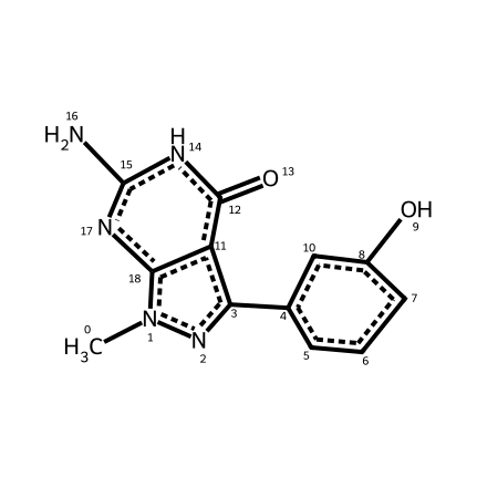 Cn1nc(-c2cccc(O)c2)c2c(=O)[nH]c(N)nc21